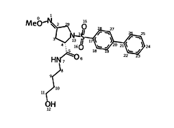 CO/N=C1\C[C@@H](C(=O)NCCCCO)N(S(=O)(=O)c2ccc(-c3ccccc3)cc2)C1